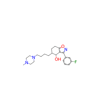 CN1CCN(CCCCC2CCc3onc(-c4cccc(F)c4)c3C2O)CC1